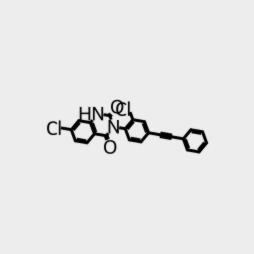 O=c1[nH]c2cc(Cl)ccc2c(=O)n1-c1ccc(C#Cc2ccccc2)cc1Cl